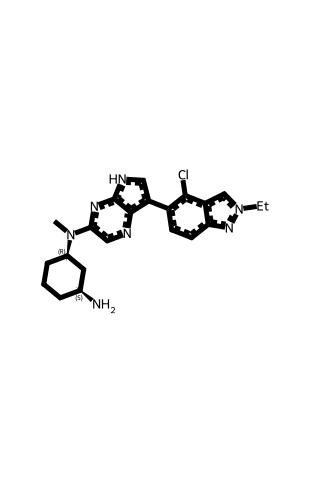 CCn1cc2c(Cl)c(-c3c[nH]c4nc(N(C)[C@@H]5CCC[C@H](N)C5)cnc34)ccc2n1